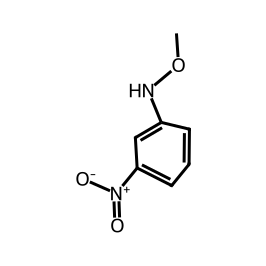 CONc1cccc([N+](=O)[O-])c1